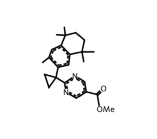 COC(=O)c1cnc(C2(c3cc4c(cc3C)C(C)(C)CCC4(C)C)CC2)nc1